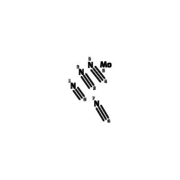 C#N.C#N.C#N.C#N.[Mo]